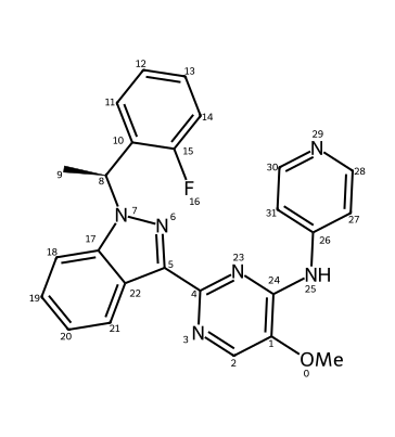 COc1cnc(-c2nn([C@@H](C)c3ccccc3F)c3ccccc23)nc1Nc1ccncc1